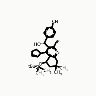 CC(C)c1nc2c(c(C3C=CCC3)c1[C@H](O)c1ccc(C#N)cc1)C(O[Si](C)(C)C(C)(C)C)CC(C)(C)C2